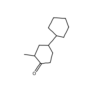 CC1CC(C2CCCCC2)CCC1=O